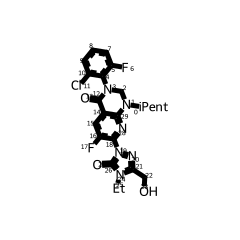 CCCC(C)N1CN(c2c(F)cccc2Cl)C(=O)c2cc(F)c(-n3nc(CO)n(CC)c3=O)nc21